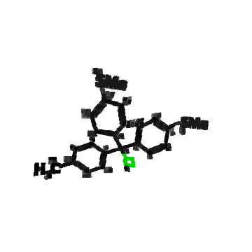 CSc1ccc(C(Cl)(c2ccc(C)cc2)c2ccc(SC)cc2)cc1